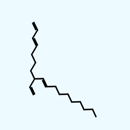 C=CC=CCCCC(C=C)C=CCCCCCCCC